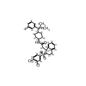 CN(C)C(c1cccc(F)c1)C1CCC(NC(=O)CC2c3ccccc3CCN2S(=O)(=O)c2ccc(Cl)c(Cl)c2)CC1